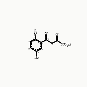 CCOC(=O)C(=O)CC(=O)c1cc(Br)ccc1Cl